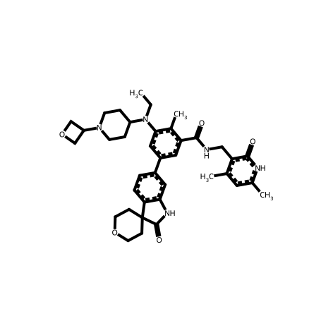 CCN(c1cc(-c2ccc3c(c2)NC(=O)C32CCOCC2)cc(C(=O)NCc2c(C)cc(C)[nH]c2=O)c1C)C1CCN(C2COC2)CC1